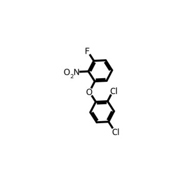 O=[N+]([O-])c1c(F)cccc1Oc1ccc(Cl)cc1Cl